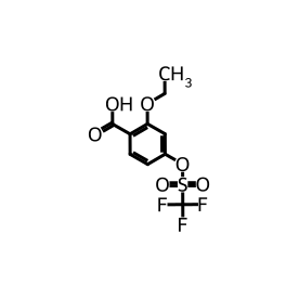 CCOc1cc(OS(=O)(=O)C(F)(F)F)ccc1C(=O)O